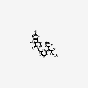 Cn1c2nc(Br)sc2c2cnn(Cc3cccc(N(C(=O)OC(C)(C)C)C(=O)OC(C)(C)C)n3)c(=O)c21